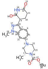 C[C@@H]1CN(c2ccc3c(C4CCC(=O)NC4=O)nn(C)c3c2)CCN1C(=O)OC(C)(C)C